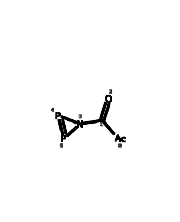 CC(=O)C(=O)N1P=P1